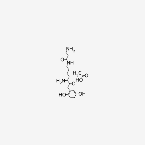 CC(=O)O.NCCC(=O)NCCCCC(N)C(=O)Cc1cc(O)ccc1O